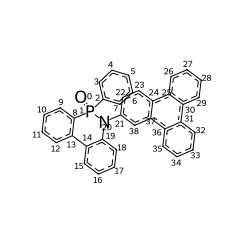 O=P1(c2ccccc2)c2ccccc2-c2ccccc2N1c1ccc2c3ccccc3c3ccccc3c2c1